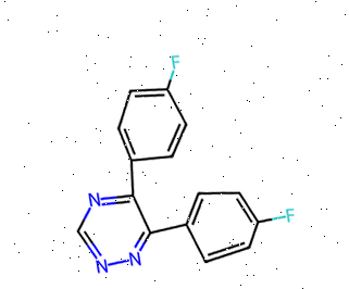 Fc1ccc(-c2ncnnc2-c2ccc(F)cc2)cc1